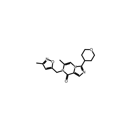 Cc1cc(Cn2c(C)cn3c(C4CCOCC4)ncc3c2=O)on1